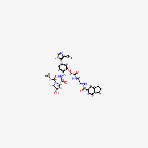 Cc1ncsc1-c1ccc(CNC(=O)[C@@H]2CC(O)CN2C(=O)CC(C)(C)C)c(OCC(=O)NCCNC(=O)c2ccc3c(c2)CCC3)c1